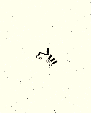 C=C[CH2][Co].C=O.C=O.C=O